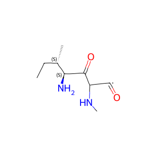 CC[C@H](C)[C@H](N)C(=O)C([C]=O)NC